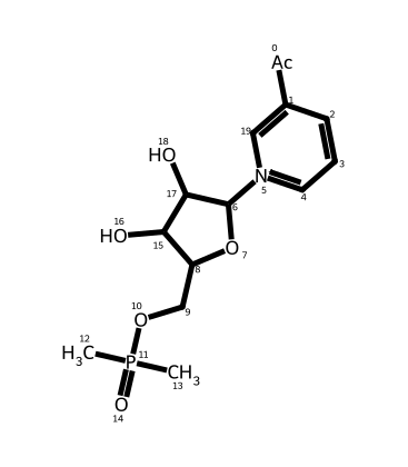 CC(=O)c1ccc[n+](C2OC(COP(C)(C)=O)C(O)C2O)c1